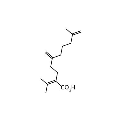 C=C(C)CCCC(=C)CCC(C(=O)O)=C(C)C